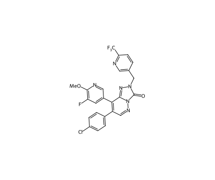 COc1ncc(-c2c(-c3ccc(Cl)cc3)cnn3c(=O)n(Cc4ccc(C(F)(F)F)nc4)nc23)cc1F